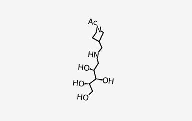 CC(=O)N1CC(CNC[C@H](O)[C@@H](O)[C@H](O)CO)C1